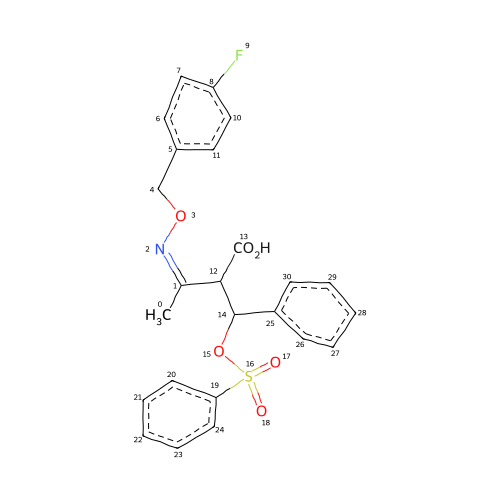 CC(=NOCc1ccc(F)cc1)C(C(=O)O)C(OS(=O)(=O)c1ccccc1)c1ccccc1